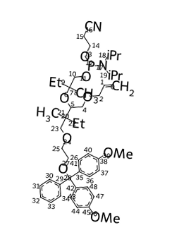 C=CCOCC(OC(C)(CC)COP(OCCC#N)N(C(C)C)C(C)C)C(C)(CC)COCCOC(c1ccccc1)(c1ccc(OC)cc1)c1ccc(OC)cc1